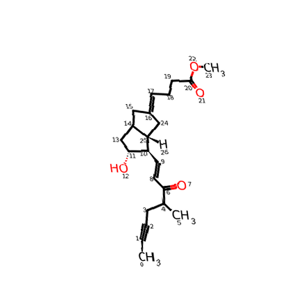 CC#CCC(C)C(=O)/C=C/[C@H]1[C@H](O)CC2C/C(=C/CCC(=O)OC)C[C@@H]21